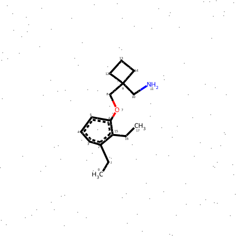 CCc1cccc(OCC2(CN)CCC2)c1CC